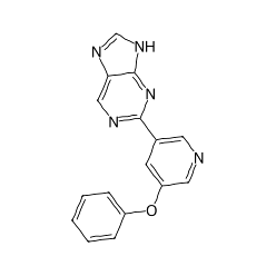 c1ccc(Oc2cncc(-c3ncc4nc[nH]c4n3)c2)cc1